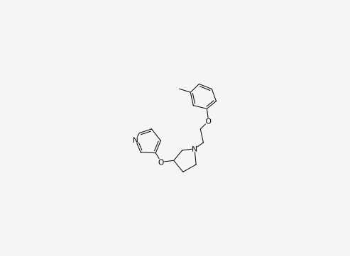 Cc1cccc(OCCN2CCC(Oc3cccnc3)C2)c1